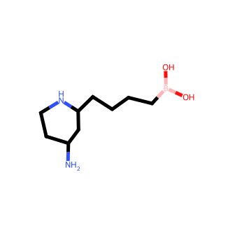 NC1CCNC(CCCCB(O)O)C1